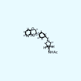 CC(=O)NC1[C@@H]2CN(Cc3ccc([C@H]4COc5cccnc5O4)cc3)C[C@@H]12